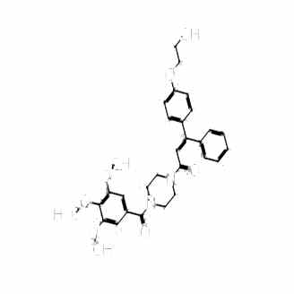 CCCOc1ccc(/C(=C/C(=O)N2CCN(C(=O)c3cc(OC)c(OC)c(OC)c3)CC2)c2ccccc2)cc1